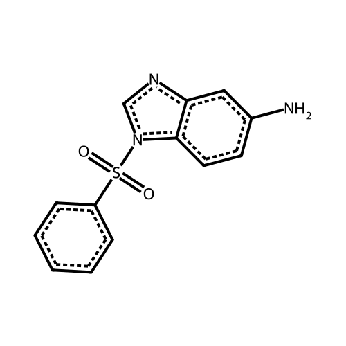 Nc1ccc2c(c1)ncn2S(=O)(=O)c1ccccc1